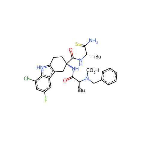 CCC(C)[C@H](NC(=O)[C@@]1(NC(=O)[C@H](C(C)CC)N(Cc2ccccc2)C(=O)O)CCc2[nH]c3c(Cl)cc(F)cc3c2C1)C(N)=S